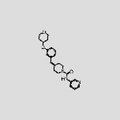 O=C(Nc1cccnc1)N1CCC(=Cc2cccc(OC3CCOCC3)c2)CC1